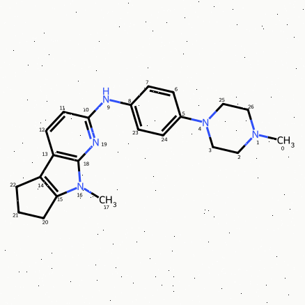 CN1CCN(c2ccc(Nc3ccc4c5c(n(C)c4n3)CCC5)cc2)CC1